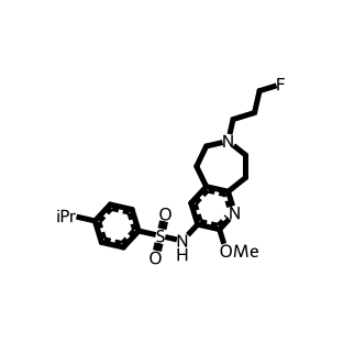 COc1nc2c(cc1NS(=O)(=O)c1ccc(C(C)C)cc1)CCN(CCCF)CC2